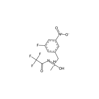 C[SH](O)(Cc1cc(F)cc([N+](=O)[O-])c1)=NC(=O)C(F)(F)F